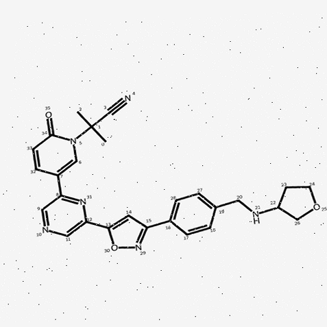 CC(C)(C#N)n1cc(-c2cncc(-c3cc(-c4ccc(CNC5CCOC5)cc4)no3)n2)ccc1=O